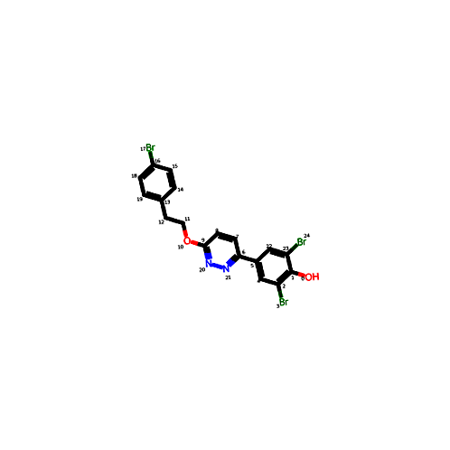 Oc1c(Br)cc(-c2ccc(OCCc3ccc(Br)cc3)nn2)cc1Br